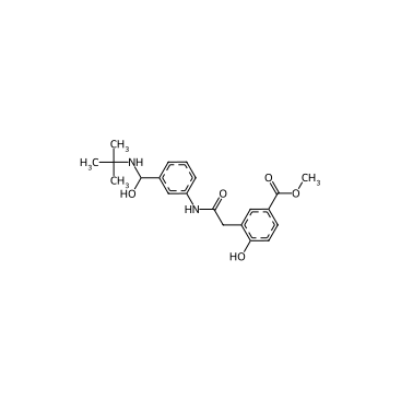 COC(=O)c1ccc(O)c(CC(=O)Nc2cccc(C(O)NC(C)(C)C)c2)c1